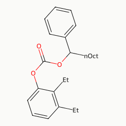 CCCCCCCCC(OC(=O)Oc1cccc(CC)c1CC)c1ccccc1